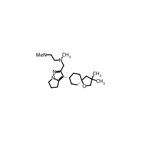 CNCCN(C)Cc1nn2c(c1[C@H]1CC[C@]3(CC1)CC(C)(C)CO3)CCC2